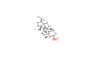 C/C=C1\C[C@@H](C)[C@H]2[C@@H]3CC[C@@H]4C[C@](C)(O)CC[C@@H]4[C@H]3CC[C@]12C